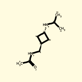 CC(=O)NC[C@H]1C[C@H](NC(C)C)C1